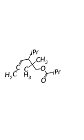 C=C=CC(C(C)C)C(C)(C)COC(=O)C(C)C